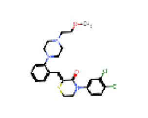 COCCN1CCN(c2ccccc2/C=C2\SCCN(c3ccc(Cl)c(Cl)c3)C2=O)CC1